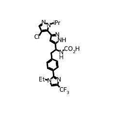 CCn1cc(C(F)(F)F)nc1-c1ccc(CC(NC(=O)O)c2cc(-c3c(Cl)cnn3C(C)C)n[nH]2)cc1